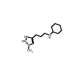 CN1C=C(CCCNC2CCCCC2)NN1